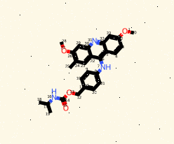 COc1ccc2c(Nc3ccc(COC(=O)NC(C)C)cc3)c3cc(C)c(OC)cc3nc2c1